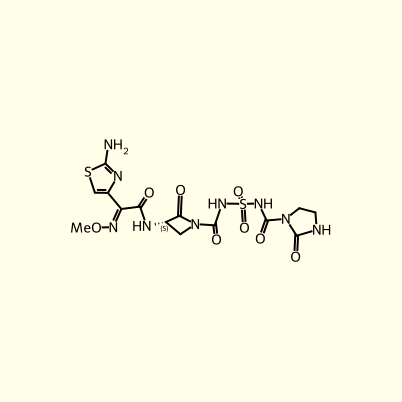 CON=C(C(=O)N[C@H]1CN(C(=O)NS(=O)(=O)NC(=O)N2CCNC2=O)C1=O)c1csc(N)n1